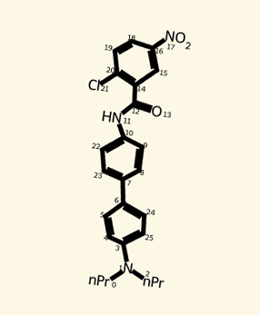 CCCN(CCC)c1ccc(-c2ccc(NC(=O)c3cc([N+](=O)[O-])ccc3Cl)cc2)cc1